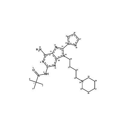 CC(C)(C)C(=O)Nc1nc(N)c2nc(-n3cccn3)n(CCCCN3CCCCC3)c2n1